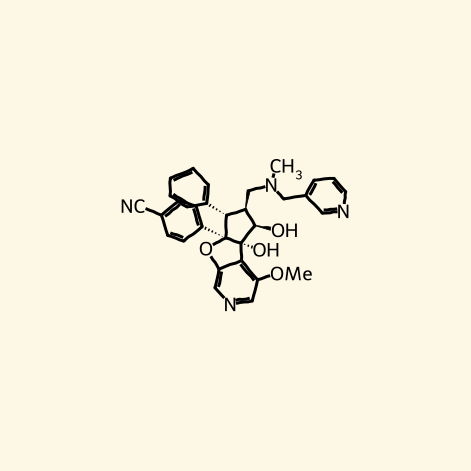 COc1cncc2c1[C@]1(O)[C@H](O)[C@H](CN(C)Cc3cccnc3)[C@@H](c3ccccc3)[C@]1(c1ccc(C#N)cc1)O2